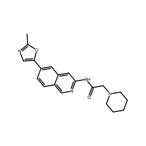 Cc1ncc(-c2ccc3cnc(NC(=O)CN4CCCCC4)cc3c2)o1